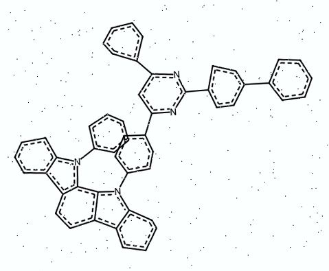 c1ccc(-c2ccc(-c3nc(-c4ccccc4)cc(-c4ccc(-n5c6ccccc6c6ccc7c8ccccc8n(-c8ccccc8)c7c65)cc4)n3)cc2)cc1